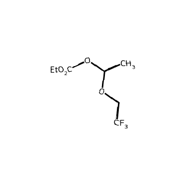 C[CH]OC(=O)OC(C)OCC(F)(F)F